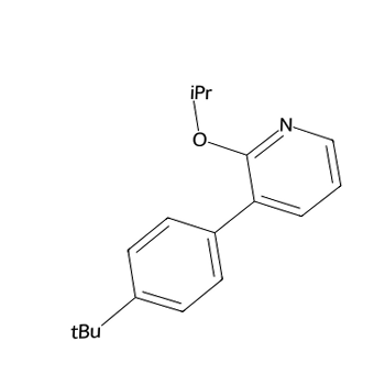 CC(C)Oc1ncccc1-c1ccc(C(C)(C)C)cc1